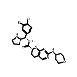 O=C(N[C@@H](c1ccc(Cl)c(F)c1)[C@H]1CCCN1)[C@H]1CCc2cnc(NC3CCOCC3)nc2O1